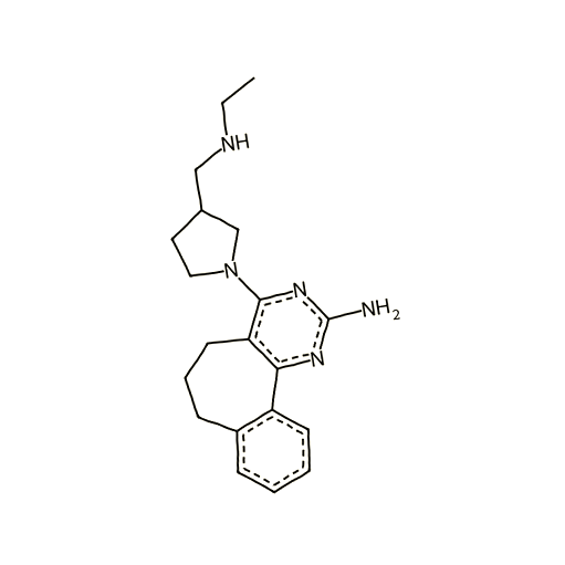 CCNCC1CCN(c2nc(N)nc3c2CCCc2ccccc2-3)C1